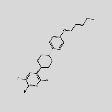 CCCCCOc1ccc([C@H]2CC[C@H](c3cc(F)c(F)nc3F)CC2)cc1